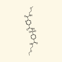 CCOCCNC(=O)c1ccc(S(=O)(=O)NC(=O)c2ccc(C(=O)NCCOC)nc2)cc1